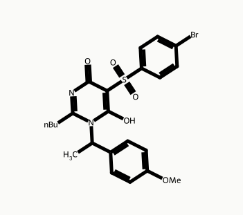 CCCCc1nc(=O)c(S(=O)(=O)c2ccc(Br)cc2)c(O)n1C(C)c1ccc(OC)cc1